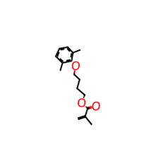 C=C(C)C(=O)OCCCCOc1c(C)cccc1C